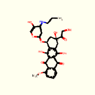 CCCNC1CC(OC2C[C@](O)(C(=O)CO)Cc3c(O)c4c(c(O)c32)C(=O)c2c(OC)cccc2C4=O)OC=C1O